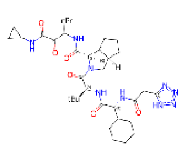 CCCC(NC(=O)[C@@H]1C2CCC[C@H]2CN1C(=O)[C@@H](NC(=O)[C@H](NC(=O)Cc1nnn[nH]1)C1CCCCC1)C(C)(C)C)C(=O)C(=O)NC1CC1